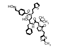 Cc1nc(CN2CCN([C@H](C(=O)N[C@@H](Cc3ccccc3)[C@@H](O)CN(CCc3cccs3)S(=O)(=O)c3ccc(C=NO)cc3)C(C)C)C2=O)cs1